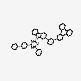 c1ccc(-c2ccc(-c3nc(-c4ccccc4)nc(-n4c5ccccc5c5ccc(-c6cccc(-c7ccc8c9ccccc9c9ccccc9c8c7)c6)cc54)n3)cc2)cc1